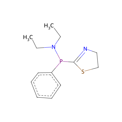 CCN(CC)P(C1=NCCS1)c1ccccc1